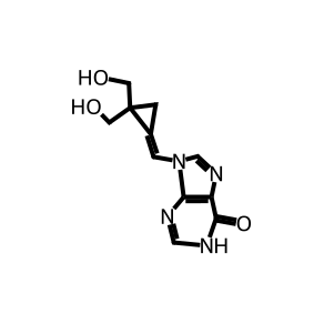 O=c1[nH]cnc2c1ncn2/C=C1\CC1(CO)CO